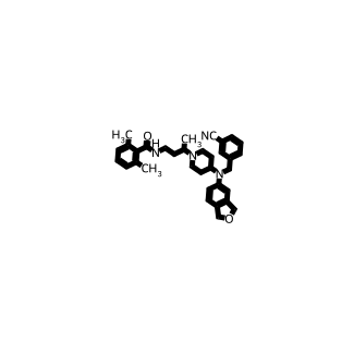 Cc1cccc(C)c1C(=O)NCCC(C)N1CCC(N(Cc2cccc(C#N)c2)c2ccc3c(c2)COC3)CC1